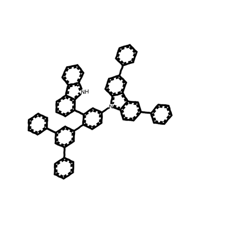 c1ccc(-c2cc(-c3ccccc3)cc(-c3ccc(-n4c5ccc(-c6ccccc6)cc5c5cc(-c6ccccc6)ccc54)cc3-c3cccc4c3[nH]c3ccccc34)c2)cc1